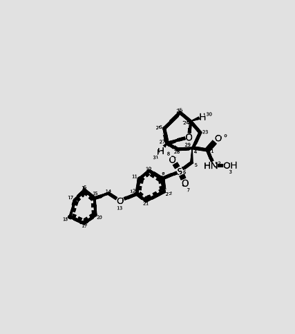 O=C(NO)[C@@]1(CS(=O)(=O)c2ccc(OCc3ccccc3)cc2)C[C@H]2CC[C@@H](C1)O2